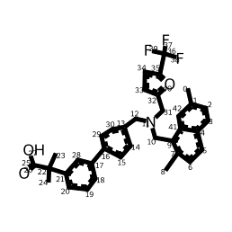 Cc1ccc2ccc(C)c(CN(Cc3ccc(-c4cccc(C(C)(C)C(=O)O)c4)cc3)Cc3ccc(C(F)(F)F)o3)c2c1